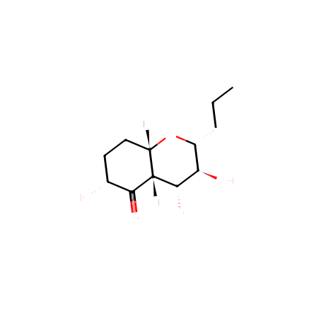 CCC[C@H]1O[C@H]2CC[C@@H](O)C(=O)[C@H]2[C@@H](O)[C@@H]1O